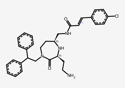 NCC[C@@H]1N[C@H](CNC(=O)/C=C/c2ccc(Cl)cc2)CCN(CC(c2ccccc2)c2ccccc2)C1=O